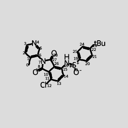 Cc1ccncc1N1C(=O)c2c(Cl)ccc(N[S@@+]([O-])c3ccc(C(C)(C)C)cc3)c2C1=O